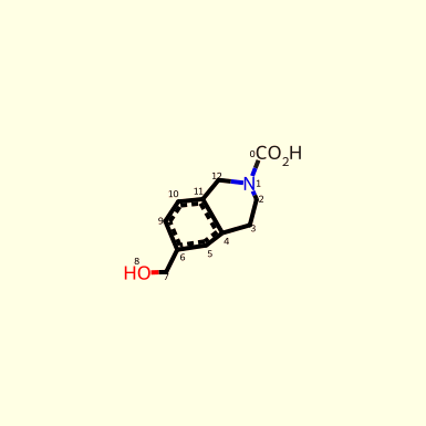 O=C(O)N1CCc2cc(CO)ccc2C1